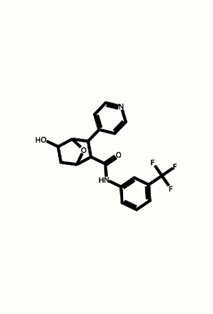 O=C(Nc1cccc(C(F)(F)F)c1)C1C2CC(O)C(O2)C1c1ccncc1